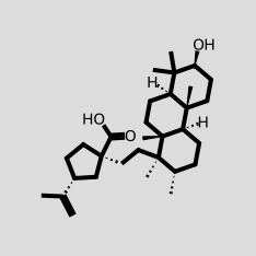 C=C(C)[C@@H]1CC[C@@](CC[C@]2(C)[C@@H](C)CC[C@@H]3[C@@]4(C)CC[C@H](O)C(C)(C)[C@@H]4CC[C@]32C)(C(=O)O)C1